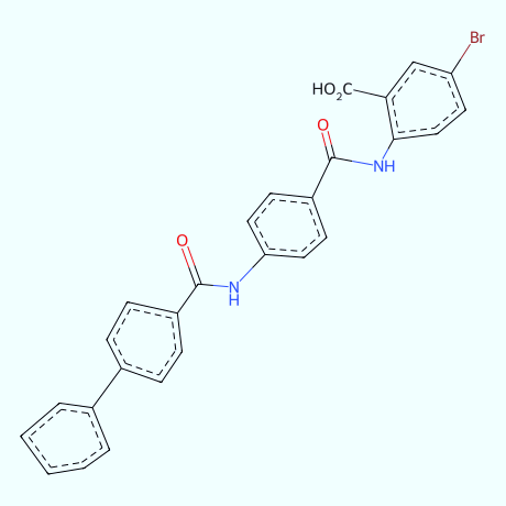 O=C(Nc1ccc(C(=O)Nc2ccc(Br)cc2C(=O)O)cc1)c1ccc(-c2ccccc2)cc1